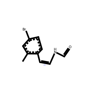 Cc1cc(Br)ccc1/C=C\NC=O